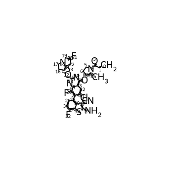 C=CC(=O)N1CC[C@@H](Oc2nc(OC[C@@]34CCCN3C[C@H](F)C4)nc3c(F)c(-c4ccc(F)c5sc(N)c(C#N)c45)c(Cl)cc23)[C@H]1C